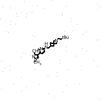 Cc1nn(C)cc1-c1ccc(NCC2CC3(C2)CN(CCC(C)(C)C)C3)nn1